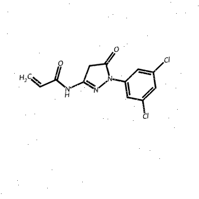 C=CC(=O)NC1=NN(c2cc(Cl)cc(Cl)c2)C(=O)C1